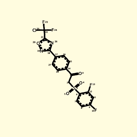 O=C(CS(=O)(=O)c1ccc(F)cc1F)c1ccc(-c2noc(C(F)(F)Cl)n2)cc1